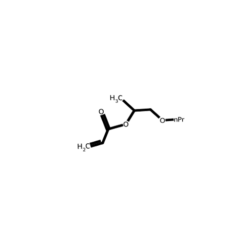 C=CC(=O)OC(C)COCCC